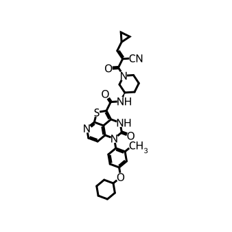 Cc1cc(OC2CCCCC2)ccc1N1C(=O)Nc2c(C(=O)N[C@@H]3CCCN(C(=O)/C(C#N)=C/C4CC4)C3)sc3nccc1c23